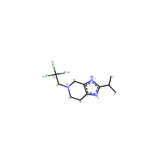 CC(C)c1nc2c([nH]1)CN(CC(F)(F)F)CC2